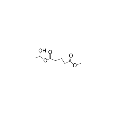 COC(=O)CCCC(=O)OC(C)O